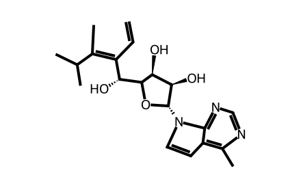 C=C/C(=C(\C)C(C)C)[C@@H](O)C1O[C@@H](n2ccc3c(C)ncnc32)[C@H](O)[C@@H]1O